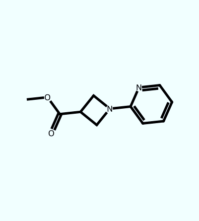 COC(=O)C1CN(c2ccccn2)C1